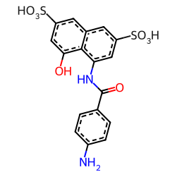 Nc1ccc(C(=O)Nc2cc(S(=O)(=O)O)cc3cc(S(=O)(=O)O)cc(O)c23)cc1